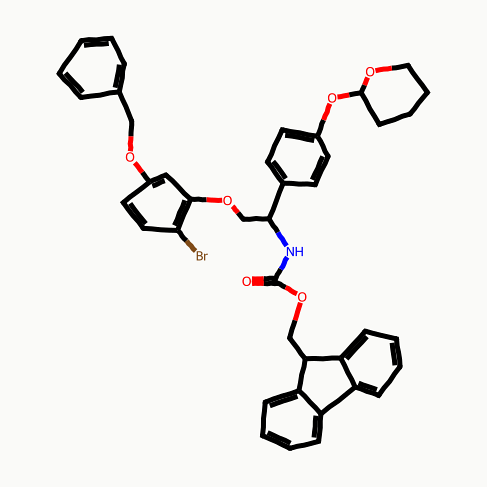 O=C(NC(COc1cc(OCc2ccccc2)ccc1Br)c1ccc(OC2CCCCO2)cc1)OCC1c2ccccc2-c2ccccc21